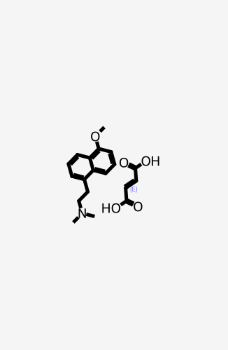 COc1cccc2c(CCN(C)C)cccc12.O=C(O)/C=C/C(=O)O